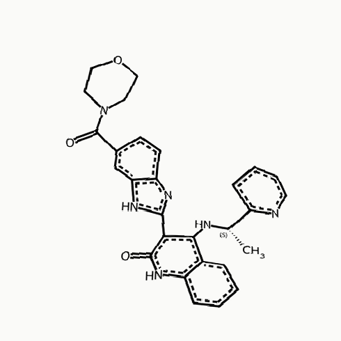 C[C@H](Nc1c(-c2nc3ccc(C(=O)N4CCOCC4)cc3[nH]2)c(=O)[nH]c2ccccc12)c1ccccn1